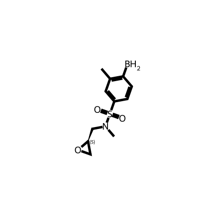 Bc1ccc(S(=O)(=O)N(C)C[C@H]2CO2)cc1C